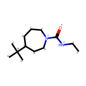 CCNC(=O)N1CCCC(C(C)(C)C)CC1